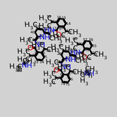 CC1=CC(=C(C)NC(=O)c2c(C(C)C)cccc2C(C)C)NC(=C(C)NC(=O)c2c(C(C)C)cccc2C(C)C)C1.CC1=CC(=C(C)NC(=O)c2c(C(C)C)cccc2C(C)C)NC(=C(C)NC(=O)c2c(C(C)C)cccc2C(C)C)C1.CNC.CNC.[Ti].[Ti]